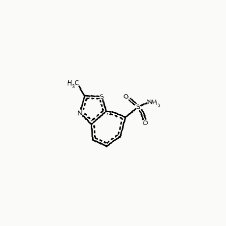 Cc1nc2cccc(S(N)(=O)=O)c2s1